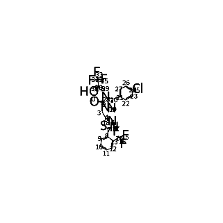 O=c1n(Cc2nnc(-c3ccccc3C(F)(F)F)s2)nc(-c2ccc(Cl)cc2)n1C[C@H](O)C(F)(F)F